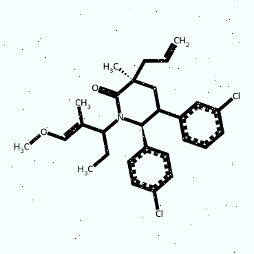 C=CC[C@@]1(C)CC(c2cccc(Cl)c2)[C@@H](c2ccc(Cl)cc2)N(C(CC)C(C)=COC)C1=O